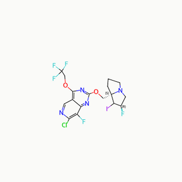 Fc1c(Cl)ncc2c(OCC(F)(F)F)nc(OC[C@]34CCCN3C[C@@H](F)C4I)nc12